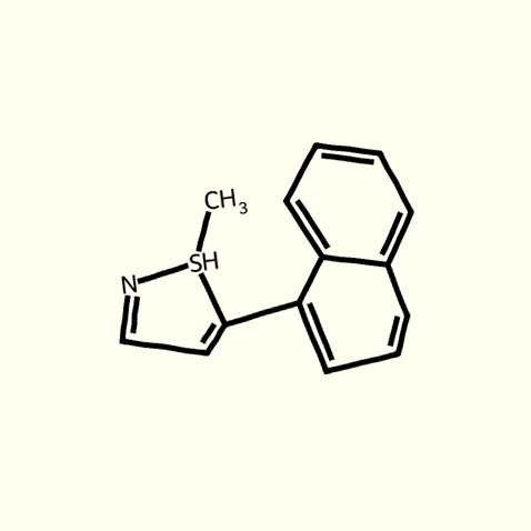 C[SH]1N=CC=C1c1cccc2ccccc12